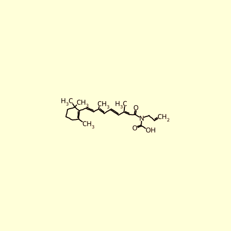 C=CCN(C(=O)O)C(=O)/C=C(C)/C=C/C=C(C)/C=C/C1=C(C)CCCC1(C)C